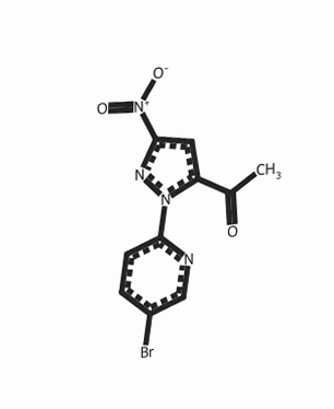 CC(=O)c1cc([N+](=O)[O-])nn1-c1ccc(Br)cn1